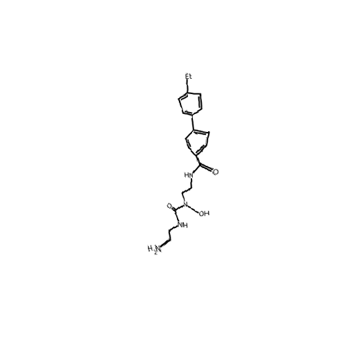 CCc1ccc(-c2ccc(C(=O)NCCN(O)C(=O)NCCN)cc2)cc1